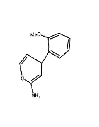 COc1ccccc1C1C=COC(N)=C1